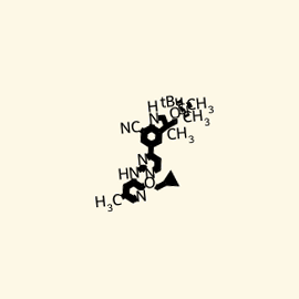 Cc1cnc(OCC2CC2)c(Nc2nccc(-c3cc(C#N)c4c(c3)[C@@](C)(CO[Si](C)(C)C(C)(C)C)CN4)n2)c1